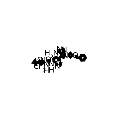 Nc1ncnc2c1c(-c1ccc(NC(=O)Nc3cc(C4(C(F)(F)F)CC4)on3)c3nccn13)cn2C1CC(OCc2ccccc2)C1